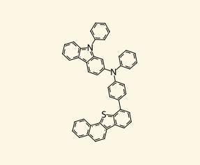 c1ccc(N(c2ccc(-c3cccc4c3sc3c5ccccc5ccc43)cc2)c2ccc3c4ccccc4n(-c4ccccc4)c3c2)cc1